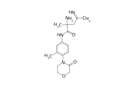 CC(=N)CC(C)(N)C(=O)Nc1ccc(N2CCOCC2=O)c(C)c1